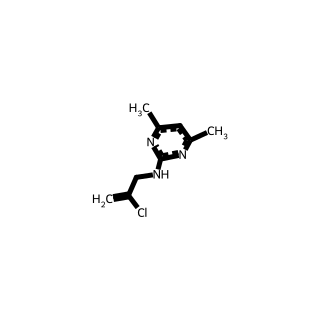 C=C(Cl)CNc1nc(C)cc(C)n1